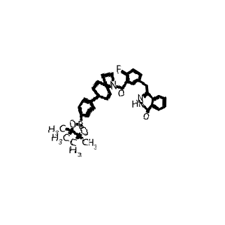 CC1(C)OB(c2ccc(C3CCC4(CC3)CCN4C(=O)c3cc(Cc4n[nH]c(=O)c5ccccc45)ccc3F)cc2)OC1(C)C